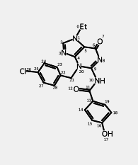 CCn1cnc2c1c(=O)nc(NC(=O)c1ccc(O)cc1)n2Cc1ccc(Cl)cc1